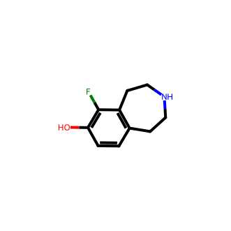 Oc1ccc2c(c1F)CCNCC2